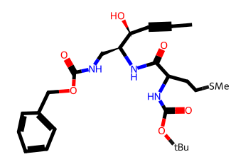 CC#C[C@H](O)[C@H](CNC(=O)OCc1ccccc1)NC(=O)C(CCSC)NC(=O)OC(C)(C)C